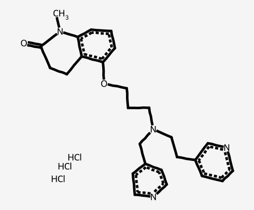 CN1C(=O)CCc2c(OCCCN(CCc3cccnc3)Cc3ccncc3)cccc21.Cl.Cl.Cl